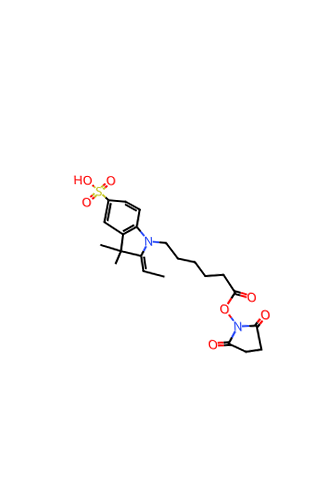 CC=C1N(CCCCCC(=O)ON2C(=O)CCC2=O)c2ccc(S(=O)(=O)O)cc2C1(C)C